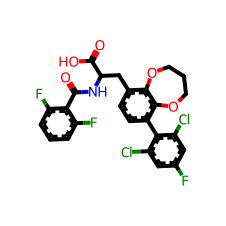 O=C(NC(Cc1ccc(-c2c(Cl)cc(F)cc2Cl)c2c1OCCCO2)C(=O)O)c1c(F)cccc1F